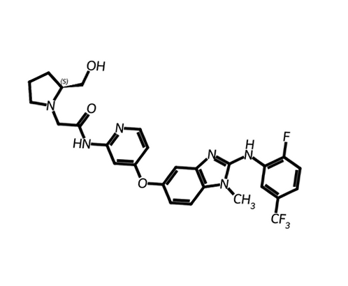 Cn1c(Nc2cc(C(F)(F)F)ccc2F)nc2cc(Oc3ccnc(NC(=O)CN4CCC[C@H]4CO)c3)ccc21